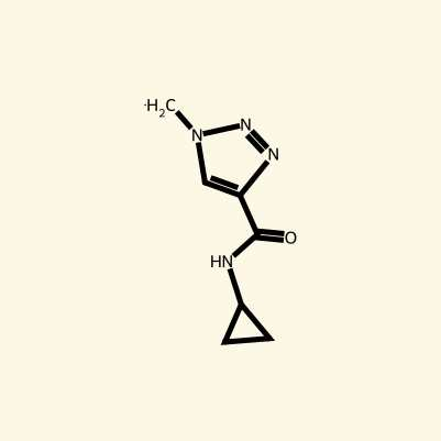 [CH2]n1cc(C(=O)NC2CC2)nn1